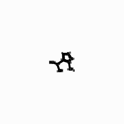 Cn1nncc1B(O)O